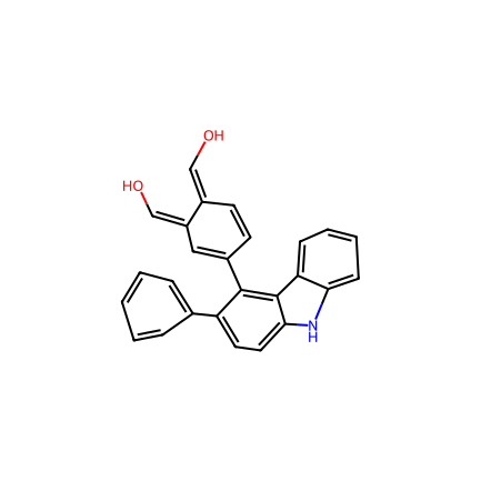 OC=c1ccc(-c2c(-c3ccccc3)ccc3[nH]c4ccccc4c23)cc1=CO